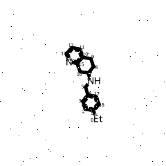 CCc1ccc(CNC2CCc3cccnc3C2)cc1